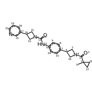 CC1(C(=O)N2CC(c3ccc(NC(=O)N4CC(c5cccnc5)C4)cc3)C2)CC1